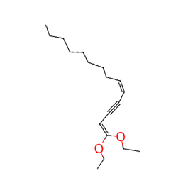 CCCCCCCC/C=C\C#CC=C(OCC)OCC